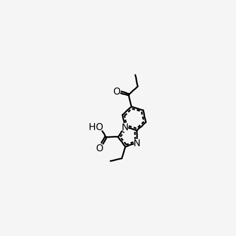 CCC(=O)c1ccc2nc(CC)c(C(=O)O)n2c1